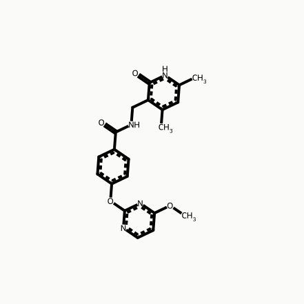 COc1ccnc(Oc2ccc(C(=O)NCc3c(C)cc(C)[nH]c3=O)cc2)n1